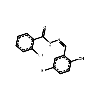 O=C(N/N=C\c1cc(Br)ccc1O)c1ccccc1O